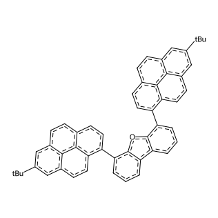 CC(C)(C)c1cc2ccc3ccc(-c4cccc5c4oc4c(-c6ccc7ccc8cc(C(C)(C)C)cc9ccc6c7c89)cccc45)c4ccc(c1)c2c34